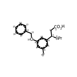 CCC[C@H](CC(=O)O)c1cc(F)cc(OCc2ccccc2)c1